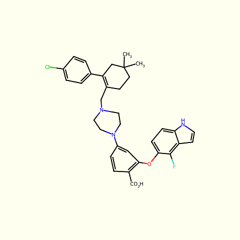 CC1(C)CCC(CN2CCN(c3ccc(C(=O)O)c(Oc4ccc5[nH]ccc5c4F)c3)CC2)=C(c2ccc(Cl)cc2)C1